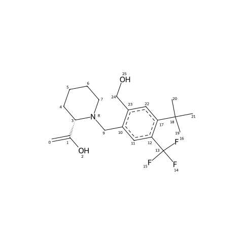 C=C(O)[C@@H]1CCCCN1Cc1cc(C(F)(F)F)c(C(C)(C)C)cc1CO